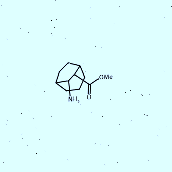 COC(=O)C1C2CCCC(CC2)C1N